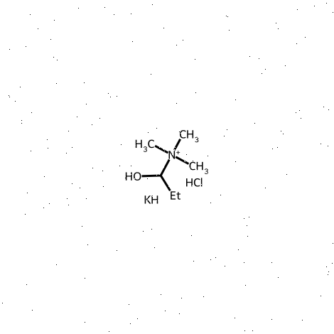 CCC(O)[N+](C)(C)C.Cl.[KH]